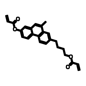 C=CC(=O)OCCCCc1ccc2c(c1)c(C)cc1cc(OC(=O)C=C)ccc12